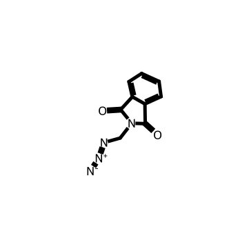 [N-]=[N+]=NCN1C(=O)c2ccccc2C1=O